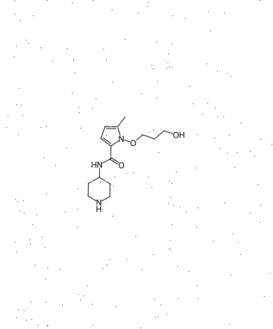 Cc1ccc(C(=O)NC2CCNCC2)n1OCCCO